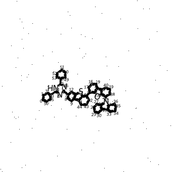 c1ccc(C2=NC(c3ccc4c(c3)sc3c(-c5cccc6c5oc5c(-n7c8ccccc8c8ccccc87)cccc56)cccc34)=NC(c3ccccc3)N2)cc1